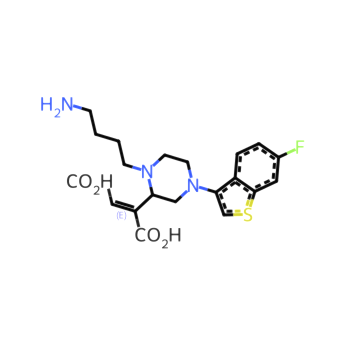 NCCCCN1CCN(c2csc3cc(F)ccc23)CC1/C(=C\C(=O)O)C(=O)O